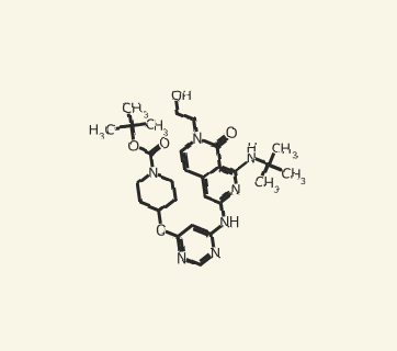 CC(C)(C)Nc1nc(Nc2cc(OC3CCN(C(=O)OC(C)(C)C)CC3)ncn2)cc2ccn(CCO)c(=O)c12